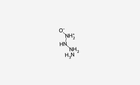 N.NN[NH2+][O-]